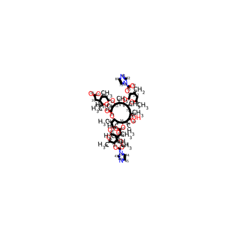 C=C1C[C@@H](C)O[C@@H](O[C@@H]2[C@@H](C)[C@H](O[C@H]3C[C@@]4(C)OC(=O)C[C@H]4[C@H](C)O3)[C@@H](C)C(=O)O[C@H]([C@@H](C)CO[C@@H]3O[C@H](C)[C@@H](OC(=O)n4ccnc4)[C@@H](OC)[C@H]3OC)[C@H](C)[C@@H](OC(=O)CC(C)C)[C@@H](C)C(=O)[C@@](C)(O)C[C@@H]2C)[C@@H]1OC(=O)n1ccnc1